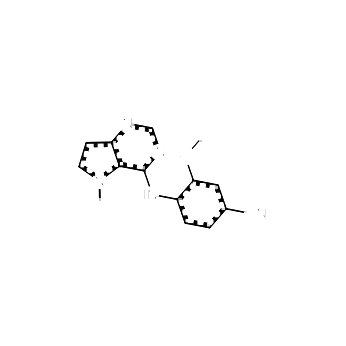 CC(C)Oc1cc(C#N)ccc1Nc1ncnc2ccn(C)c12